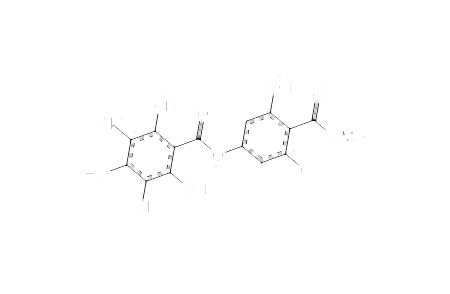 COC(=O)c1c(C)cc(OC(=O)c2c(C)c(Cl)c(O)c(Cl)c2O)cc1O